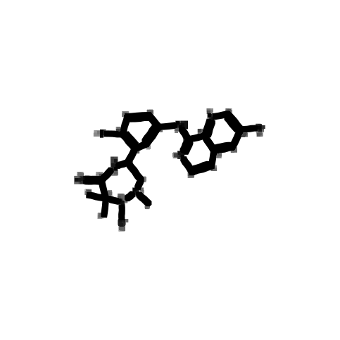 CN1CC(c2cc(Nc3nccc4cc(Br)cnc34)ccc2F)NC(=N)C(C)(C)[S+]1[O-]